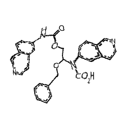 O=C(Nc1ccc2cnccc2c1)OCC(OCc1ccccc1)N(C(=O)O)c1ccc2cnccc2c1